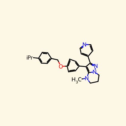 CC(C)c1ccc(COc2ccc(-c3c(-c4ccncc4)nn4c3N(C)CCC4)cc2)cc1